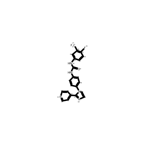 O=C(Nc1ccc(-n2ccnc2-c2ccncc2)cc1)Nc1ccc(F)c(C(F)(F)F)c1